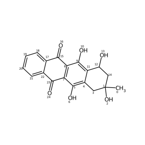 CC1(O)Cc2c(O)c3c(c(O)c2C(O)C1)C(=O)c1ccccc1C3=O